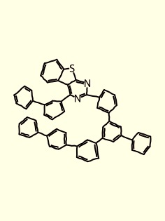 c1ccc(-c2ccc(-c3cccc(-c4cc(-c5ccccc5)cc(-c5cccc(-c6nc(-c7cccc(-c8ccccc8)c7)c7c(n6)sc6ccccc67)c5)c4)c3)cc2)cc1